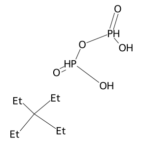 CCC(CC)(CC)CC.O=[PH](O)O[PH](=O)O